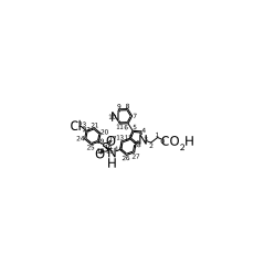 O=C(O)CCn1cc(-c2cccnc2)c2cc(NS(=O)(=O)c3ccc(Cl)cc3)ccc21